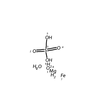 O.O.O=S(=O)(O)O.[Fe].[MgH2]